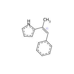 C/C(=C/c1ccccc1)c1ccc[nH]1